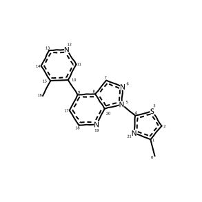 Cc1csc(-n2ncc3c(-c4cnccc4C)ccnc32)n1